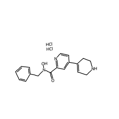 Cl.Cl.O=C(c1cc(C2=CCNCC2)ccn1)N(O)Cc1ccccc1